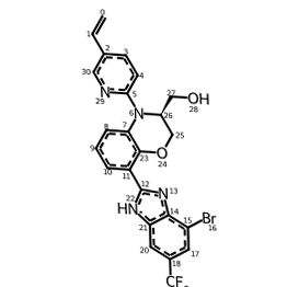 C=Cc1ccc(N2c3cccc(-c4nc5c(Br)cc(C(F)(F)F)cc5[nH]4)c3OC[C@@H]2CO)nc1